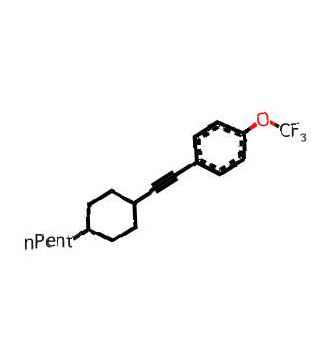 CCCCCC1CCC(C#Cc2ccc(OC(F)(F)F)cc2)CC1